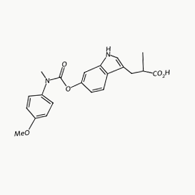 COc1ccc(N(C)C(=O)Oc2ccc3c(CC(C)C(=O)O)c[nH]c3c2)cc1